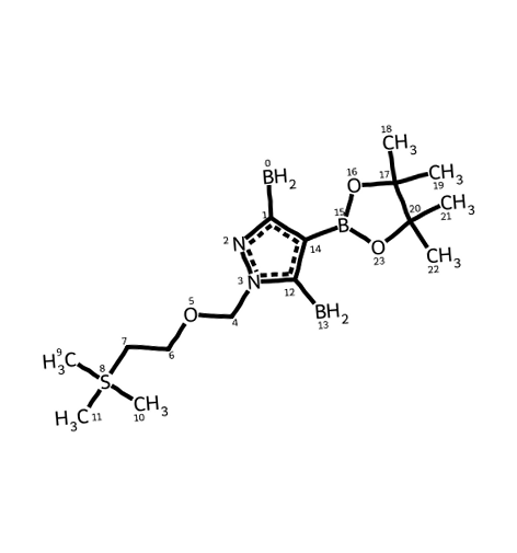 Bc1nn(COCCS(C)(C)C)c(B)c1B1OC(C)(C)C(C)(C)O1